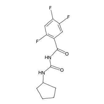 O=C(NC(=O)c1cc(F)c(F)cc1F)NC1CCCC1